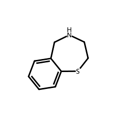 c1ccc2c(c1)CNCCS2